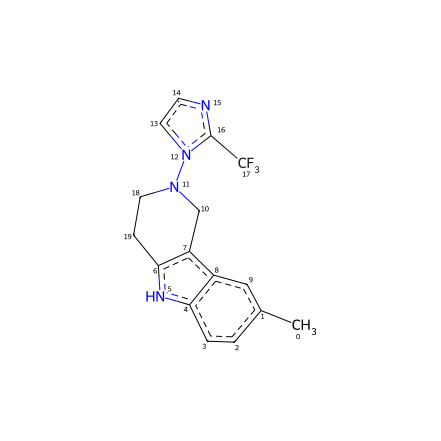 Cc1ccc2[nH]c3c(c2c1)CN(n1c[c]nc1C(F)(F)F)CC3